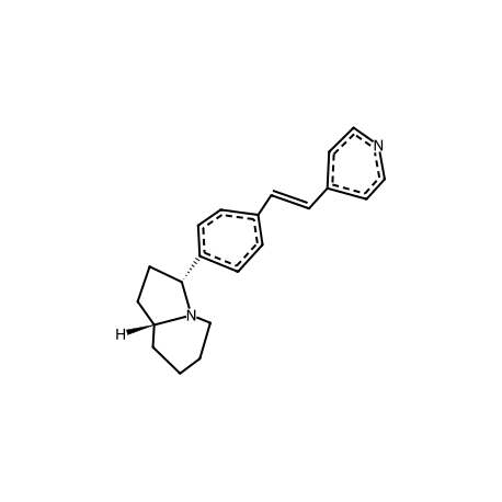 C(=Cc1ccc([C@H]2CC[C@H]3CCCCN32)cc1)c1ccncc1